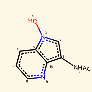 CC(=O)Nc1cn(O)c2cccnc12